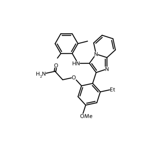 CCc1cc(OC)cc(OCC(N)=O)c1-c1nc2ccccn2c1Nc1c(C)cccc1C